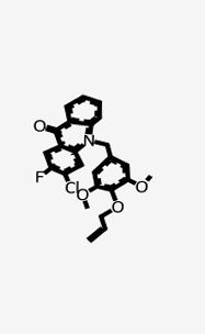 C=CCOc1c(OC)cc(Cn2c3ccccc3c(=O)c3cc(F)c(Cl)cc32)cc1OC